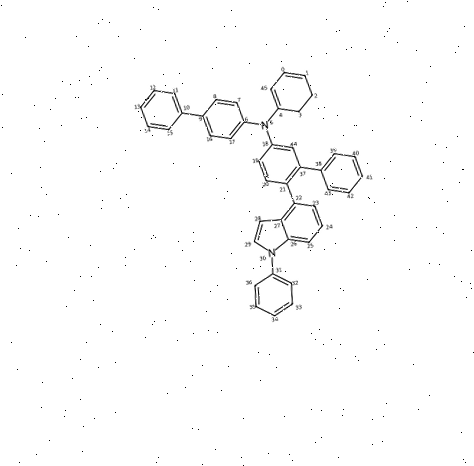 C1=CCCC(N(c2ccc(-c3ccccc3)cc2)c2ccc(-c3cccc4c3ccn4-c3ccccc3)c(-c3ccccc3)c2)=C1